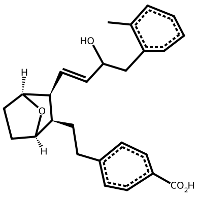 Cc1ccccc1CC(O)/C=C/[C@H]1[C@@H](CCc2ccc(C(=O)O)cc2)[C@H]2CC[C@@H]1O2